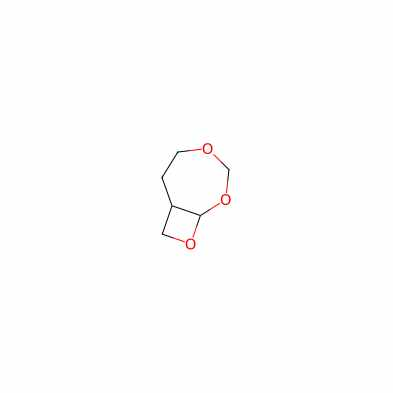 C1CC2COC2OCO1